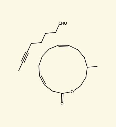 CC#CCCCCC=O.CC1CCC=CCCCC=CCC(=O)OCC1